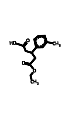 CCOC(=O)CC(CC(=O)O)c1cccc(C)c1